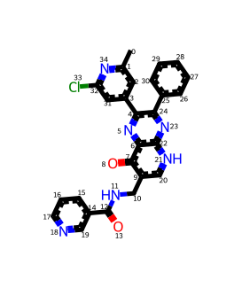 Cc1cc(-c2nc3c(=O)c(CNC(=O)c4cccnc4)c[nH]c3nc2-c2ccccc2)cc(Cl)n1